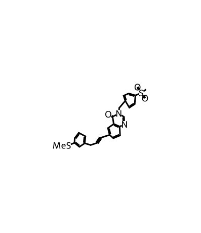 CSc1cccc(CC#Cc2ccc3ncn(Cc4ccc(S(C)(=O)=O)cc4)c(=O)c3c2)c1